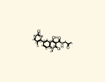 CC(=O)CNC(=O)c1c(O)c2cc(-c3nc(Cl)ncc3C)ccc2n(C)c1=O